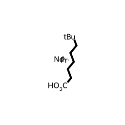 CC(C)(C)CCCCCC(=O)O.[Nd].[Pr]